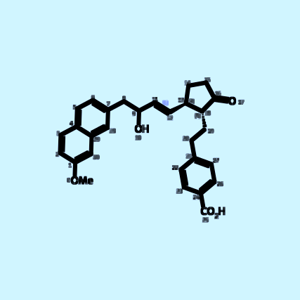 COc1ccc2ccc(CC(O)/C=C/[C@H]3CCC(=O)[C@@H]3CCc3ccc(C(=O)O)cc3)cc2c1